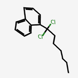 CCCCCCC(Cl)(Cl)c1cccc2ccccc12